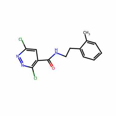 Cc1ccccc1CCNC(=O)c1cc(Cl)nnc1Cl